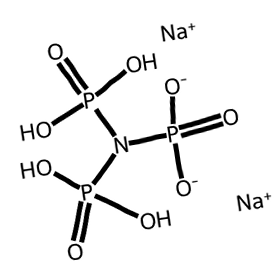 O=P([O-])([O-])N(P(=O)(O)O)P(=O)(O)O.[Na+].[Na+]